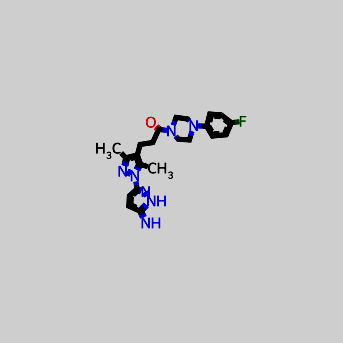 Cc1nn(-c2ccc(=N)[nH]n2)c(C)c1CCC(=O)N1CCN(c2ccc(F)cc2)CC1